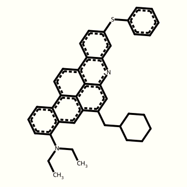 CCN(CC)c1cccc2c1cc1c(CC3CCCCC3)cc3nc4cc(Sc5ccccc5)ccc4c4ccc2c1c34